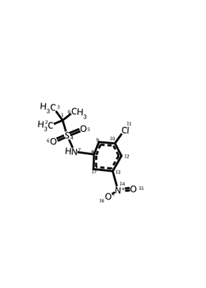 CC(C)(C)S(=O)(=O)Nc1cc(Cl)cc([N+](=O)[O-])c1